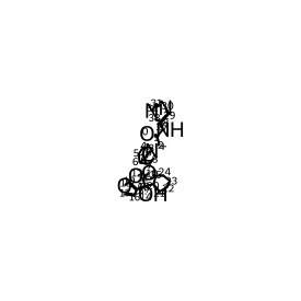 O=C(C[N+]12CCC(CC1)C(OC(=O)[C@](O)(c1ccoc1)C1CCCCC1)C2)Nc1cncnc1